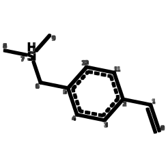 C=Cc1ccc(C[SiH](C)C)cc1